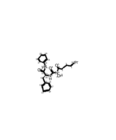 CC(C)CCCC(=O)N(O)C(=O)N[C@@H](Cc1ccccc1)C(=O)Nc1ccccc1